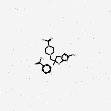 CC1(CN2CCN(C(=O)S)CC2)Cn2cc([N+](=O)[O-])nc2O1.NC(=O)c1ccccc1